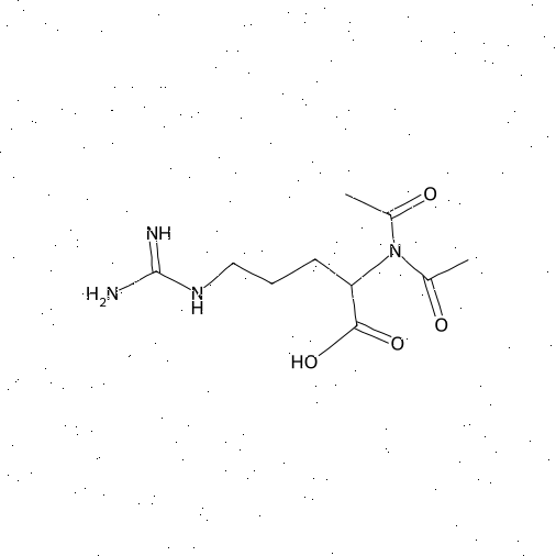 CC(=O)N(C(C)=O)C(CCCNC(=N)N)C(=O)O